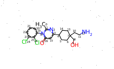 Cc1nc(C2CCC(CO)(CCN)CC2)cc(=O)n1-c1cccc(Cl)c1Cl